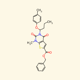 CCCC(Oc1ccc(C)cc1)n1c(=O)c2cc(C(=O)OCc3ccccc3)sc2n(C)c1=O